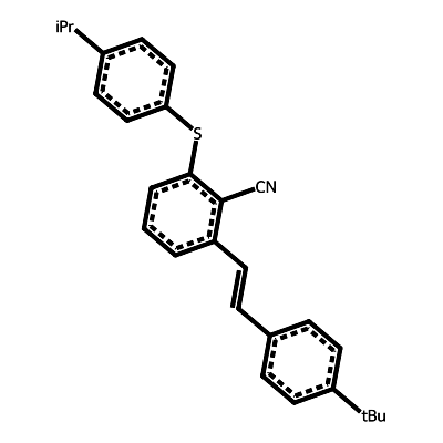 CC(C)c1ccc(Sc2cccc(C=Cc3ccc(C(C)(C)C)cc3)c2C#N)cc1